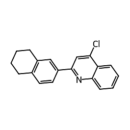 Clc1cc(-c2ccc3c(c2)CCCC3)nc2ccccc12